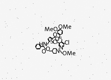 COCCN1CCC(COC(=O)C(NCc2ccc(C(=O)O[C@@H](Cc3c(Cl)cncc3Cl)c3ccc(OC)c(OC)c3)s2)c2ccccc2)CC1